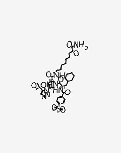 CS(=O)(=O)c1ccc(C(=O)N[C@H](CC2CCCCC2)C(=O)N2C[C@@H](n3nncc3C3(O)COC3)C[C@H]2C(=O)NCCCCCCCC(=O)C(N)=O)cc1